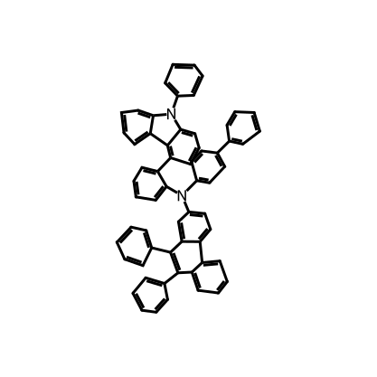 c1ccc(-c2ccc(N(c3ccc4c(c3)c(-c3ccccc3)c(-c3ccccc3)c3ccccc34)c3ccccc3-c3cccc4c3c3ccccc3n4-c3ccccc3)cc2)cc1